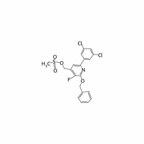 CS(=O)(=O)OCc1cc(-c2cc(Cl)cc(Cl)c2)nc(OCc2ccccc2)c1F